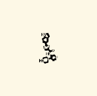 O=C(Nc1cnccc1N1CCNCC1)c1cnc(-c2ccc3[nH]ccc3c2)o1